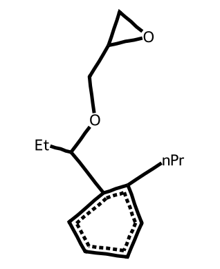 CCCc1ccccc1C(CC)OCC1CO1